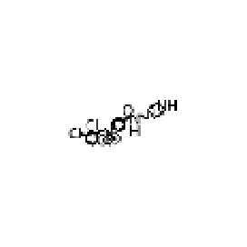 CS(=O)(=O)N(Cc1cccc(Cl)c1Cl)c1ccc(C(=O)NCCN2CCNCC2)cc1